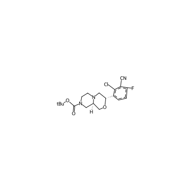 CC(C)(C)OC(=O)N1CCN2C[C@H](c3ccc(F)c(C#N)c3Cl)OC[C@H]2C1